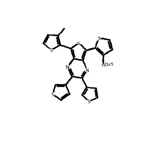 CCCCCCCCc1ccsc1-c1sc(-c2sccc2C)c2nc(-c3ccsc3)c(-c3ccsc3)nc12